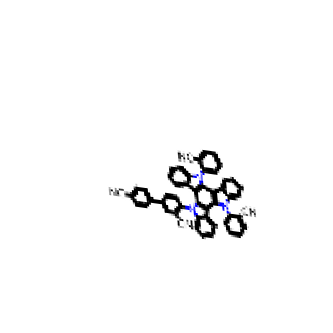 N#Cc1ccc(-c2ccc(-n3c4ccccc4c4c5c(c6ccccc6n5-c5ccccc5C#N)c5c(c6ccccc6n5-c5ccccc5C#N)c43)c(C#N)c2)cc1